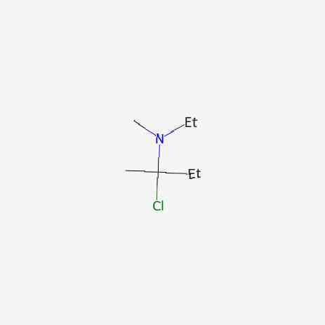 CCN(C)C(C)(Cl)CC